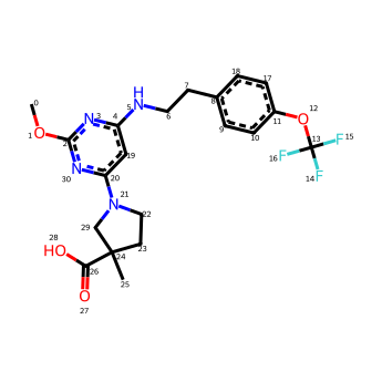 COc1nc(NCCc2ccc(OC(F)(F)F)cc2)cc(N2CCC(C)(C(=O)O)C2)n1